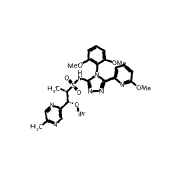 COc1cccc(-c2nnc(NS(=O)(=O)[C@H](C)[C@H](OC(C)C)c3cnc(C)cn3)n2-c2c(OC)cccc2OC)n1